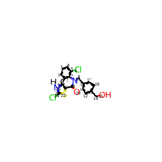 Cc1cccc(Cl)c1N(Cc1ccc(CO)cc1)C(=O)c1cnc(Cl)s1